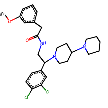 CC(C)Oc1cccc(CC(=O)NCC(c2ccc(Cl)c(Cl)c2)N2CCC(N3CCCCC3)CC2)c1